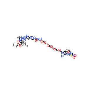 CC(=O)c1c(C)c2cnc(Nc3ccc(N4CCN(CC(=O)NCCOCCOCCOCCOCCOCCOCCNc5ccc(C(=O)Nc6ncc([N+](=O)[O-])s6)c(C)c5)CC4)cn3)nc2n(C2CCCC2)c1=O